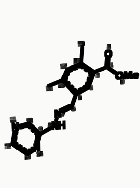 COC(=O)c1cc(C=NNc2cnccn2)c(C)cc1C